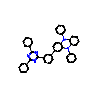 c1ccc(-c2nc(-c3ccccc3)nc(-c3cccc(-c4ccc5c(c4)N(c4ccccc4)c4ccccc4N5c4ccccc4)c3)n2)cc1